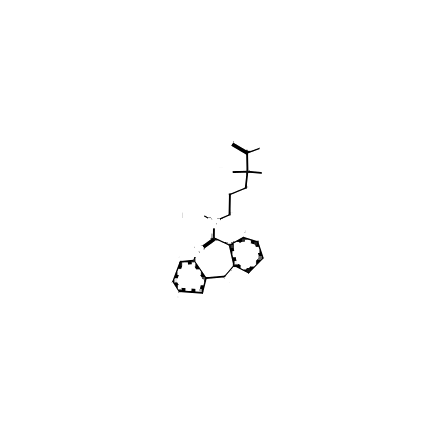 C=C(C)C(C)(CC)CCCN(CCC)C1=Nc2ccccc2Cc2ccccc21